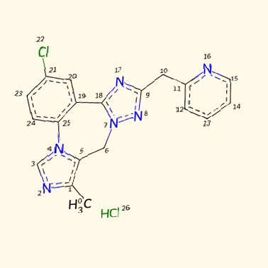 Cc1ncn2c1Cn1nc(Cc3ccccn3)nc1-c1cc(Cl)ccc1-2.Cl